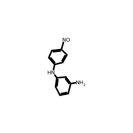 Nc1cccc(Nc2ccc(N=O)cc2)c1